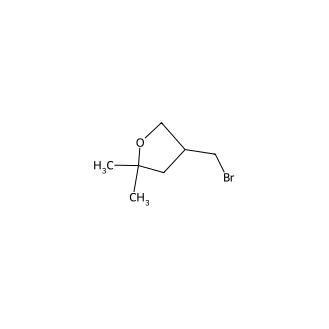 CC1(C)CC(CBr)CO1